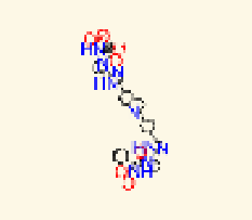 COC(=O)N[C@H](C(=O)N1CCC[C@H]1c1ncc(-c2ccc3nc(-c4ccc(-c5cnc([C@@H]6CCCN6C(=O)[C@H](NC(=O)OC)c6ccccc6)[nH]5)cc4)ccc3c2)[nH]1)[C@@H](C)OC